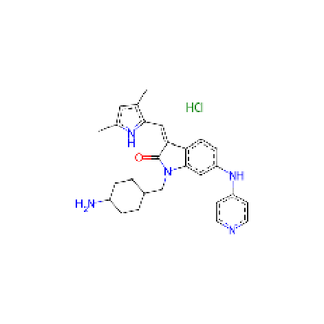 Cc1cc(C)c(/C=C2\C(=O)N(CC3CCC(N)CC3)c3cc(Nc4ccncc4)ccc32)[nH]1.Cl